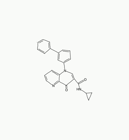 O=C(NC1CC1)c1cn(-c2cccc(-c3cc[c]cc3)c2)c2cccnc2c1=O